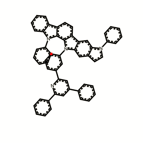 c1ccc(-c2cc(-c3ccccc3)nc(-c3cccc(-n4c5cc6ccn(-c7ccccc7)c6cc5c5ccc6c7ccccc7n(-c7ccccc7)c6c54)c3)c2)cc1